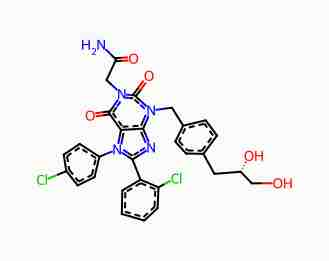 NC(=O)Cn1c(=O)c2c(nc(-c3ccccc3Cl)n2-c2ccc(Cl)cc2)n(Cc2ccc(C[C@H](O)CO)cc2)c1=O